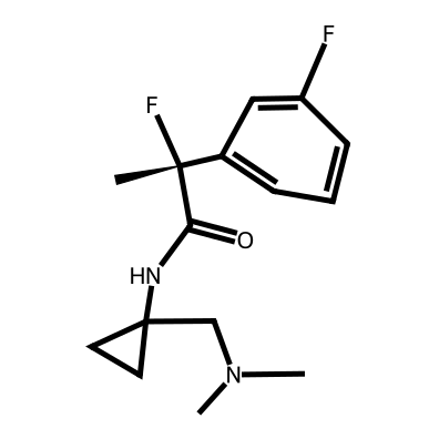 CN(C)CC1(NC(=O)[C@](C)(F)c2cccc(F)c2)CC1